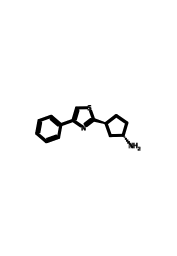 N[C@H]1CC[C@H](c2nc(-c3ccccc3)cs2)C1